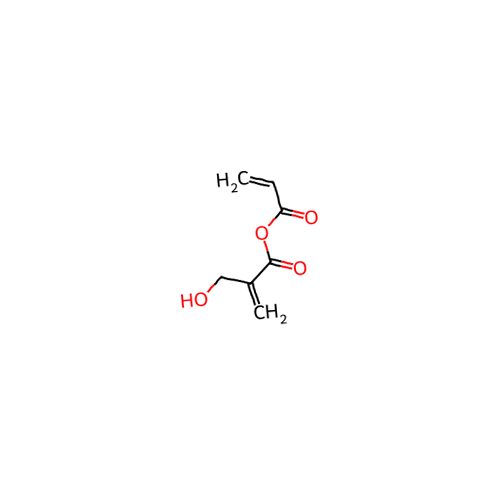 C=CC(=O)OC(=O)C(=C)CO